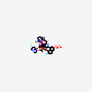 COCOc1cc(-c2nc3c4c(nc(OC[C@@]56CCCN5C[C@H](F)C6)nc4c2F)N2C[C@H]4CC[C@@H]([C@@H]2C[C@@H]3C)N4C(=O)OC(C)(C)C)c2c(C#C[Si](C(C)C)(C(C)C)C(C)C)c(F)ccc2c1